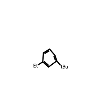 [CH2]Cc1cccc(C(C)(C)C)c1